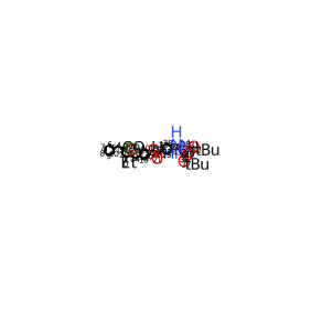 CCC(C[C@@H](Cc1ccccc1)C(=O)O)C(=O)Cc1ccc(OC(=O)c2ccc(N/C(=N/C(=O)OC(C)(C)C)NC(=O)OC(C)(C)C)cc2)cc1Cl